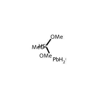 CO[SiH](OC)OC.[PbH2]